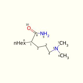 CCCCCCC(CCCN(C)C)C(N)=O